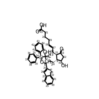 CC(C)(C)[Si](O[C@H](CC[C@H]1[C@H](O)CC(=O)[C@@H]1CC=CCCCC(=O)O)c1cc2ccccc2s1)(c1ccccc1)c1ccccc1